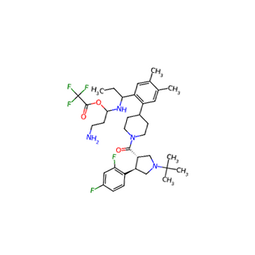 CCC(NC(CCN)OC(=O)C(F)(F)F)c1cc(C)c(C)cc1C1CCN(C(=O)[C@@H]2CN(C(C)(C)C)C[C@H]2c2ccc(F)cc2F)CC1